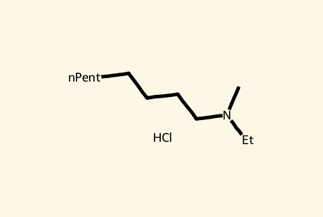 CCCCCCCCCN(C)CC.Cl